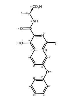 Cc1nc(C(=O)N[C@@H](C)C(=O)O)c(O)c2ccc(Oc3ccccc3)cc12